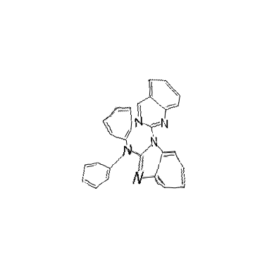 c1ccc(N(c2ccccc2)c2nc3ccccc3n2-c2ncc3ccccc3n2)cc1